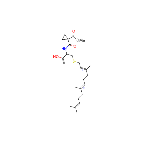 C=C(O)C(CSC/C=C(\C)CC/C=C(\C)CCC=C(C)C)NC(=O)C1(C(=O)OC)CC1